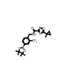 CC1(c2nc(C(=O)NCc3ccc(B4OC(C)(C)C(C)(C)O4)cc3C(F)(F)F)no2)CC1